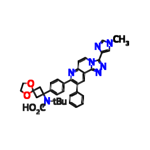 Cn1cnc(-c2nnc3c4cc(-c5ccccc5)c(-c5ccc(C6(N(C(=O)O)C(C)(C)C)CC7(C6)OCCO7)cc5)nc4ccn23)c1